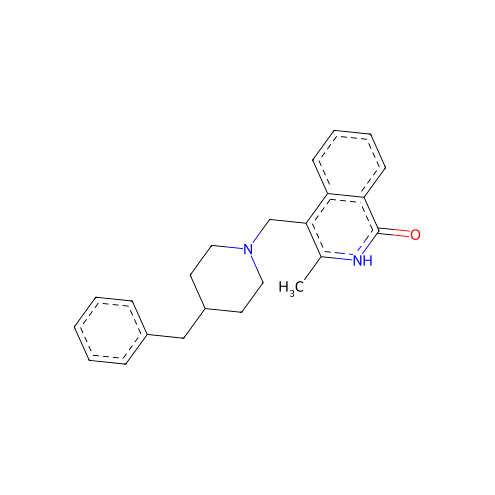 Cc1[nH]c(=O)c2ccccc2c1CN1CCC(Cc2ccccc2)CC1